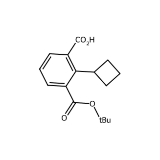 CC(C)(C)OC(=O)c1cccc(C(=O)O)c1C1CCC1